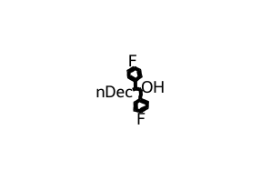 CCCCCCCCCCC(c1ccc(F)cc1)C(O)c1ccc(F)cc1